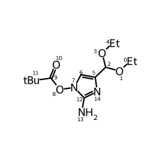 CCOC(OCC)c1cn(OC(=O)C(C)(C)C)c(N)n1